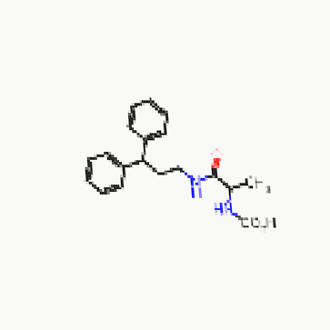 CC(NC(=O)O)C(=O)NCCC(c1ccccc1)c1ccccc1